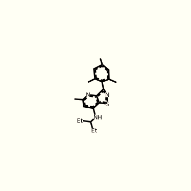 CCC(CC)Nc1cc(C)nc2c(-c3c(C)cc(C)cc3C)nsc12